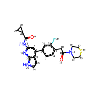 O=C(Nc1cc(-c2ccc(CC(=O)N3CCSCC3)c(F)c2)c2cc[nH]c2n1)C1CC1